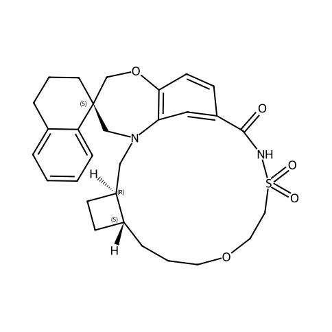 O=C1NS(=O)(=O)CCOCCC[C@@H]2CC[C@H]2CN2C[C@@]3(CCCc4ccccc43)COc3ccc1cc32